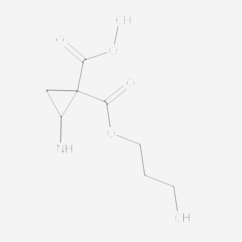 CCCCOC(=O)C1(C(=O)OC)CC1N